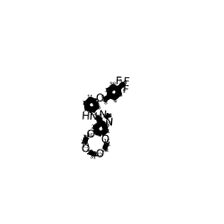 FC(F)(F)c1ccc(COc2cccc(Nc3ncnc4cc5c(cc34)OCCOCCOCCO5)c2)cc1